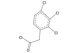 O=C(Cl)Cc1ccc(Cl)c(Cl)c1Cl